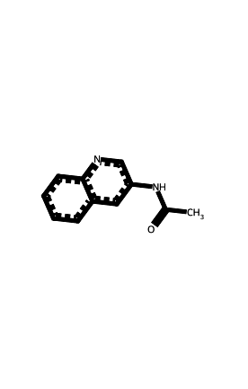 CC(=O)Nc1cnc2ccccc2c1